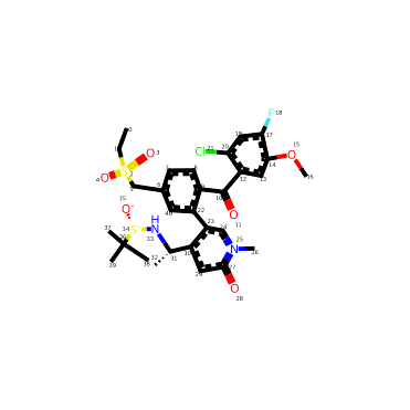 CCS(=O)(=O)Cc1ccc(C(=O)c2cc(OC)c(F)cc2Cl)c(-c2cn(C)c(=O)cc2[C@H](C)N[S@@+]([O-])C(C)(C)C)c1